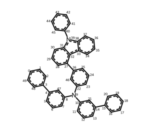 c1ccc(-c2cccc(N(c3cccc(-c4ccccc4)c3)c3cccc(-c4cccc5c4c4ccccc4n5-c4ccccc4)c3)c2)cc1